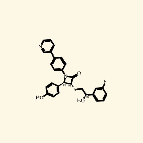 O=C1[C@H](SC[C@H](O)c2cccc(F)c2)[C@@H](c2ccc(O)cc2)N1c1ccc(-c2cccnc2)cc1